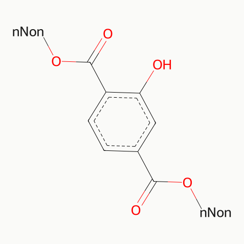 CCCCCCCCCOC(=O)c1ccc(C(=O)OCCCCCCCCC)c(O)c1